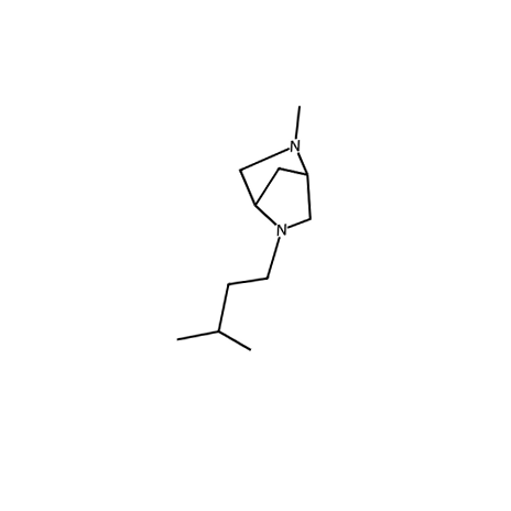 CC(C)CCN1CC2CC1CN2C